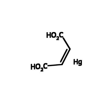 O=C(O)/C=C\C(=O)O.[Hg]